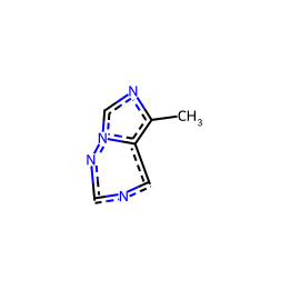 Cc1ncn2ncncc12